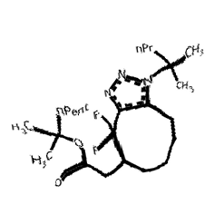 CCCCCC(C)(C)OC(=O)CC1CCCCc2c(nnn2C(C)(C)CCC)C1(F)F